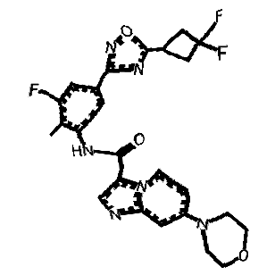 Cc1c(F)cc(-c2noc(C3CC(F)(F)C3)n2)cc1NC(=O)c1cnc2cc(N3CCOCC3)ccn12